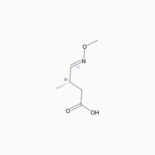 CO/N=C/[C@@H](C)CC(=O)O